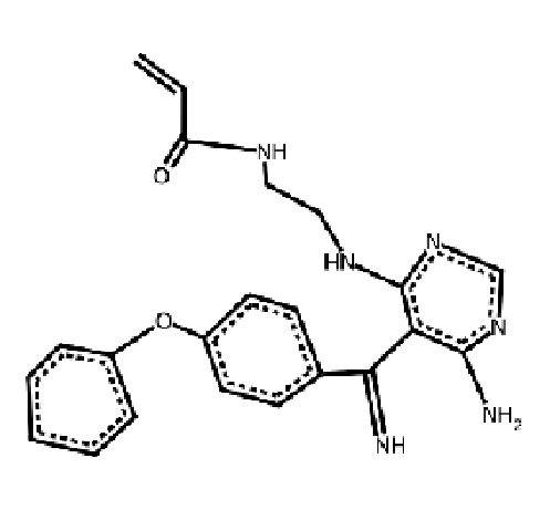 C=CC(=O)NCCNc1ncnc(N)c1C(=N)c1ccc(Oc2ccccc2)cc1